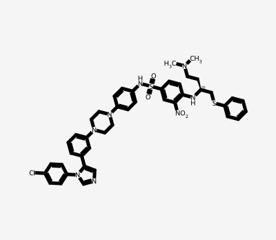 CN(C)CC[C@@H](CSc1ccccc1)Nc1ccc(S(=O)(=O)Nc2ccc(N3CCN(c4cccc(-c5cncn5-c5ccc(Cl)cc5)c4)CC3)cc2)cc1[N+](=O)[O-]